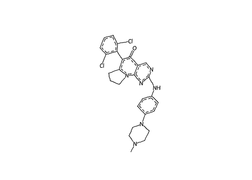 CN1CCN(c2ccc(Nc3ncc4c(=O)c(-c5c(Cl)cccc5Cl)c5n(c4n3)CCC5)cc2)CC1